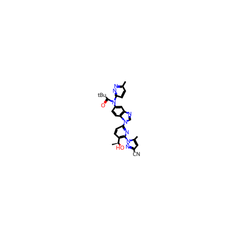 Cc1ccc(N(C(=O)C(C)(C)C)c2ccc3c(c2)ncn3-c2ccc([C@H](C)O)c(-n3nc(C#N)cc3C)n2)nn1